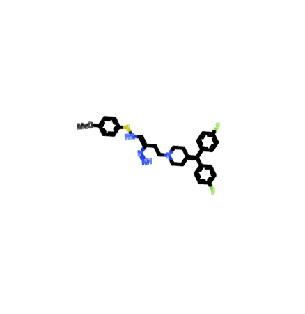 COc1ccc(SN/C=C(/CCN2CCC(=C(c3ccc(F)cc3)c3ccc(F)cc3)CC2)N=N)cc1